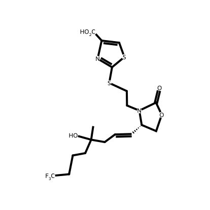 CC(O)(CC=C[C@H]1COC(=O)N1CCSc1nc(C(=O)O)cs1)CCCC(F)(F)F